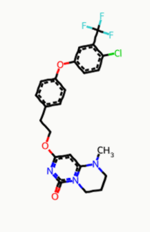 CN1CCCn2c1cc(OCCc1ccc(Oc3ccc(Cl)c(C(F)(F)F)c3)cc1)nc2=O